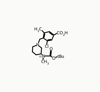 Cc1cc(C(=O)O)cc(Cl)c1CN1CCC[C@H](N(C)C(=O)OC(C)(C)C)C1